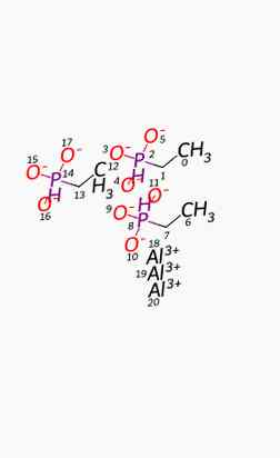 CC[PH]([O-])([O-])[O-].CC[PH]([O-])([O-])[O-].CC[PH]([O-])([O-])[O-].[Al+3].[Al+3].[Al+3]